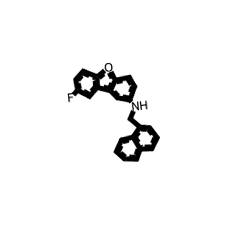 Fc1ccc2oc3ccc(NCc4cccc5ccccc45)cc3c2c1